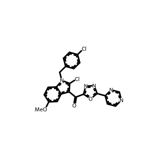 COc1ccc2c(c1)c(C(=O)c1nnc(-c3ccncn3)o1)c(Cl)n2Cc1ccc(Cl)cc1